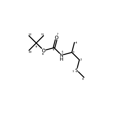 CSCC(C)NC(=O)OC(C)(C)C